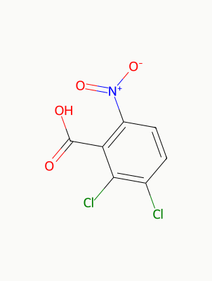 O=C(O)c1c([N+](=O)[O-])ccc(Cl)c1Cl